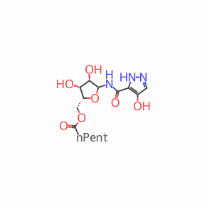 CCCCCC(=O)OC[C@H]1OC(NC(=O)c2[nH]ncc2O)[C@H](O)[C@@H]1O